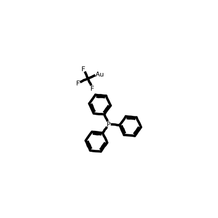 F[C](F)(F)[Au].c1ccc(P(c2ccccc2)c2ccccc2)cc1